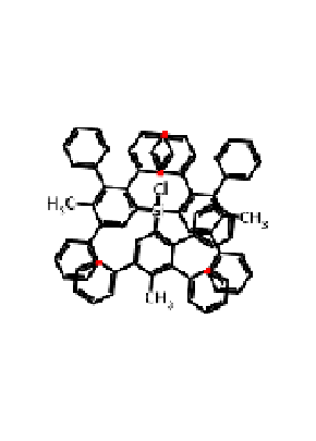 Cc1c(-c2ccccc2)cc([Si](Cl)(c2cc(-c3ccccc3)c(C)c(-c3ccccc3)c2-c2ccccc2)c2cc(-c3ccccc3)c(C)c(-c3ccccc3)c2-c2ccccc2)c(-c2ccccc2)c1-c1ccccc1